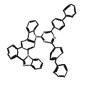 c1ccc(-c2ccc(-c3nc(-c4ccc(-c5ccccc5)cc4)nc(-n4c5ccccc5c5cc6c7ccccc7c7nc8ccccc8n7c6cc54)n3)cc2)cc1